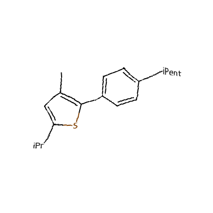 CCCC(C)c1ccc(-c2sc(C(C)C)cc2C)cc1